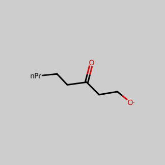 CCCCCC(=O)CC[O]